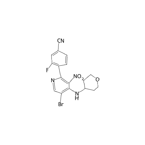 N#Cc1ccc(-c2ncc(Br)c(NC3CCOCC3)c2[N+](=O)[O-])c(F)c1